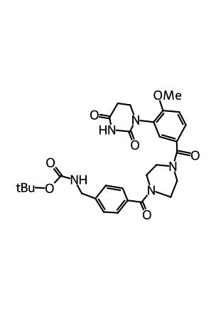 COc1ccc(C(=O)N2CCN(C(=O)c3ccc(CNC(=O)OC(C)(C)C)cc3)CC2)cc1N1CCC(=O)NC1=O